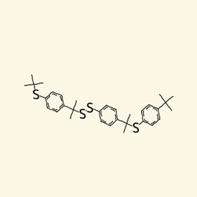 CC(C)(C)Sc1ccc(C(C)(C)SSc2ccc(C(C)(C)Sc3ccc(C(C)(C)C)cc3)cc2)cc1